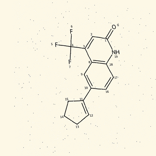 O=c1cc(C(F)(F)F)c2cc(C3=CCCC3)ccc2[nH]1